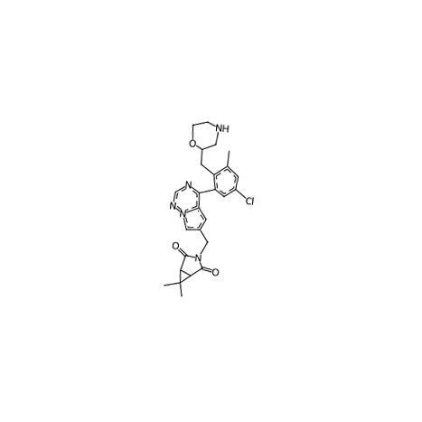 Cc1cc(Cl)cc(-c2ncnn3cc(CN4C(=O)C5C(C4=O)C5(C)C)cc23)c1CC1CNCCO1